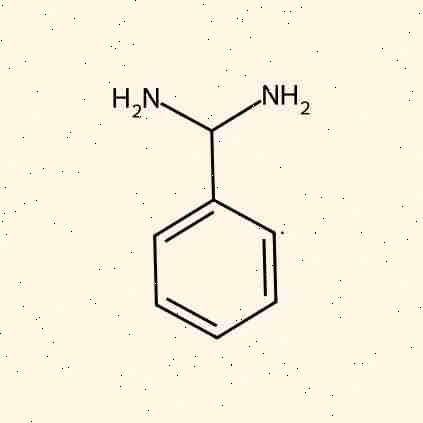 NC(N)c1[c]cccc1